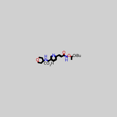 CC(C)COC(C)ONC(=O)C=Cc1ccc(CNC2(C(=O)O)CCOCC2)cn1